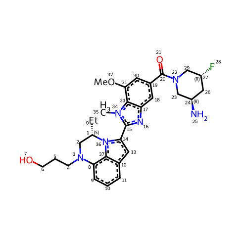 CC[C@H]1CN(CCCO)c2cccc3cc(-c4nc5cc(C(=O)N6C[C@H](N)C[C@@H](F)C6)cc(OC)c5n4C)n1c23